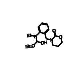 CCN(c1ccccc1CN1CCCOC1=O)C(O)OCC(C)C